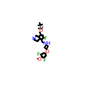 COc1c(F)cc(O[C@H]2C[C@H](NCc3c(F)cc(CO[Si](C)(C)C(C)(C)C)c4cnccc34)C2)cc1F